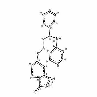 O=c1[nH][nH]c2cc(SCCC(Nc3ccccn3)c3ccccc3)ccc12